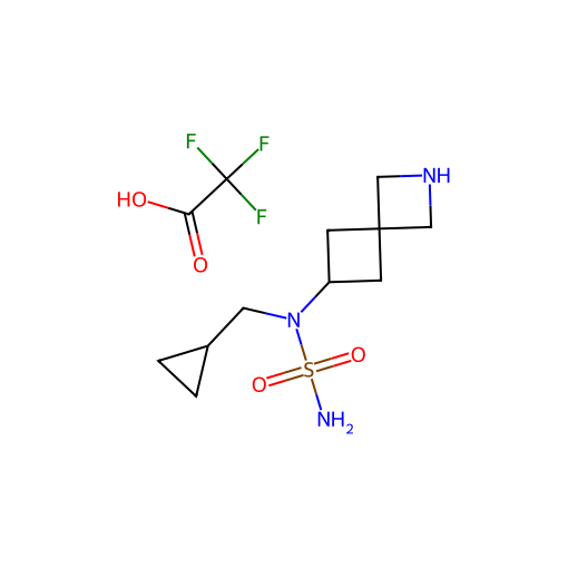 NS(=O)(=O)N(CC1CC1)C1CC2(CNC2)C1.O=C(O)C(F)(F)F